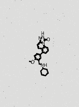 COc1ccc(-c2cccc3c2ccc2n[nH]c(=O)n23)cc1CNC1CCCCC1